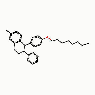 CCCCCCCCOc1ccc(C2c3ccc(C)cc3CCC2c2ccccc2)cc1